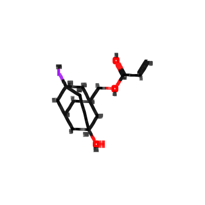 C=CC(=O)OCC12CC3CC(O)(CC(I)(C3)C1)C2